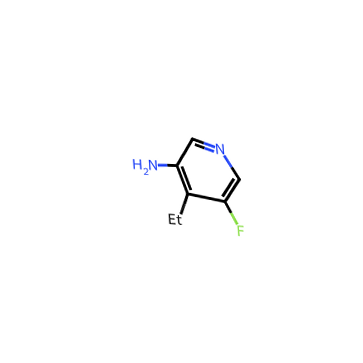 CCc1c(N)cncc1F